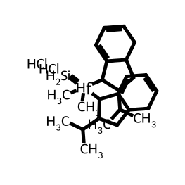 CC(C)C1CC2CC=CC=C2[CH]1[Hf]([CH3])([CH3])(=[SiH2])[CH]1C2=CC=CCC2CC1C(C)C.Cl.Cl